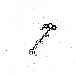 COCCOCCOC(=O)/C=C/CNCCCCN1c2ccccc2CCc2ccc(Cl)cc21